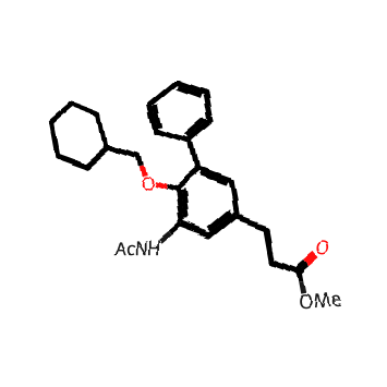 COC(=O)CCc1cc(NC(C)=O)c(OCC2CCCCC2)c(-c2ccccc2)c1